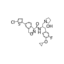 O=C(NC(CN1CCCC1)[C@H](O)c1ccc(OC2CC2)c(F)c1)C1=NOCc2cc(-c3ccc(Cl)s3)ccc21